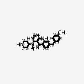 Cc1ccc(Cc2ccc(C(=N)C3=C(N)N=CNC3NC3CCNCC3)cc2)cc1